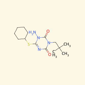 CC(C)(C)Cn1c(=O)nc(SC2CCCCC2)n(N)c1=O